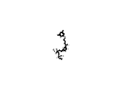 Cc1cc(C)cc(OCCCC(=O)c2ccc(CCC(C)(N)COP(=O)(O)O)s2)c1